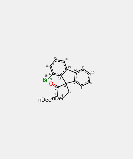 CCCCCCCCCCCC(=O)C1(CCCCCCCCCCC)c2ccccc2-c2cccc(Br)c21